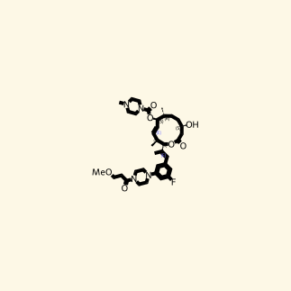 COCCC(=O)N1CCN(c2cc(F)cc(/C=C(\C)[C@H]3OC(=O)C[C@@H](O)CC[C@@H](C)[C@H](OC(=O)N4CCN(C)CC4)/C=C/[C@@H]3C)c2)CC1